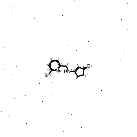 O=C1C=C(NCc2cccc(Br)n2)CC1